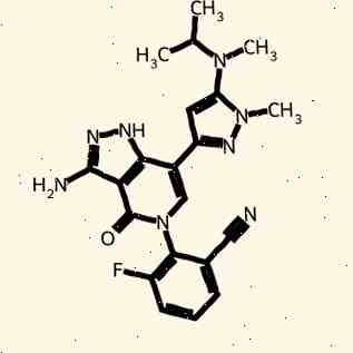 CC(C)N(C)c1cc(-c2cn(-c3c(F)cccc3C#N)c(=O)c3c(N)n[nH]c23)nn1C